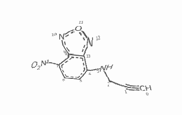 C#CCNc1ccc([N+](=O)[O-])c2nonc12